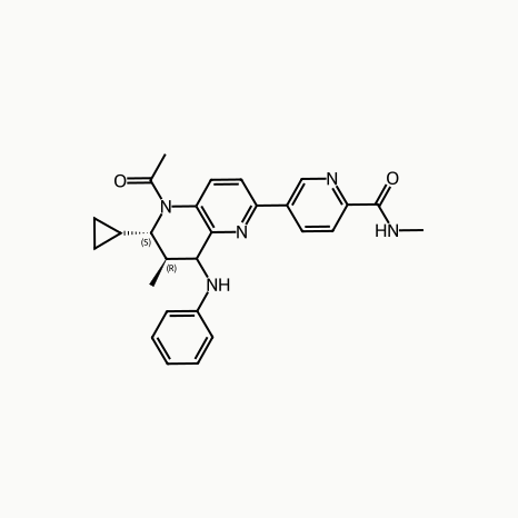 CNC(=O)c1ccc(-c2ccc3c(n2)C(Nc2ccccc2)[C@@H](C)[C@H](C2CC2)N3C(C)=O)cn1